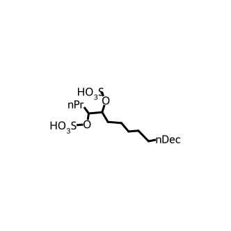 CCCCCCCCCCCCCCCC(OS(=O)(=O)O)C(CCC)OS(=O)(=O)O